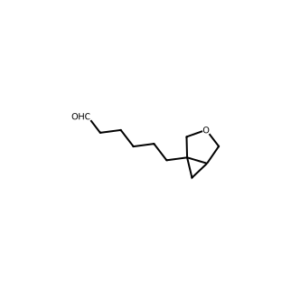 O=CCCCCCC12COCC1C2